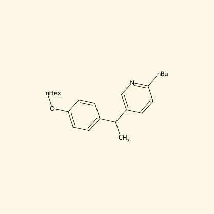 CCCCCCOc1ccc(C(C)c2ccc(CCCC)nc2)cc1